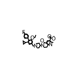 CCOc1cc(CN2CCC(N3CCc4nc(C)c(C(=O)OC)cc4C3=O)CC2)cc(C2CC2)c1-c1ccc(F)cc1